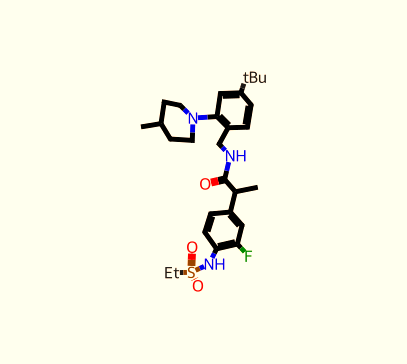 CCS(=O)(=O)Nc1ccc(C(C)C(=O)NCc2ccc(C(C)(C)C)cc2N2CCC(C)CC2)cc1F